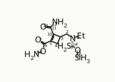 CCN(CC1CC(C(=O)ON)=C1C(N)=O)[SiH2]O[SiH3]